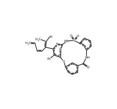 C=C/C=C\C(=C(/C)C(C)C)c1nc2nc(c1CC)Oc1cccc(c1)C(=O)Nc1cccc(c1)S(=O)(=O)N2